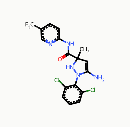 CC1(C(=O)Nc2ccc(C(F)(F)F)cn2)C=C(N)N(c2c(Cl)cccc2Cl)N1